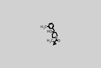 Cc1[c]ccc(CC2(O)CCN(C(=O)C3(C)CC3)CC2)c1